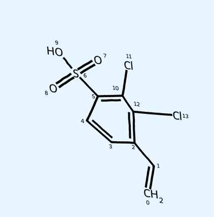 C=Cc1ccc(S(=O)(=O)O)c(Cl)c1Cl